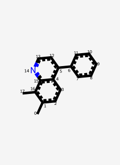 Cc1ccc2c(-c3ccccc3)ccnc2c1C